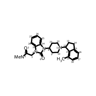 CNC(=O)Cn1c(=O)n(C2CCN(C3CCc4cccc(C)c43)CC2)c2ccccc21